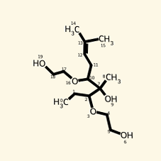 CCC(OCCO)C(C)(O)C(CC=C(C)C)OCCO